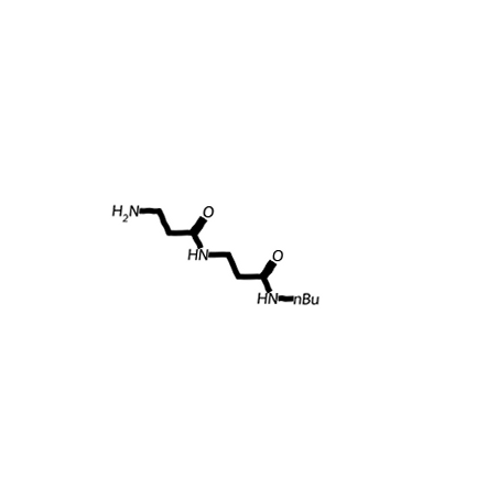 CCCCNC(=O)CCNC(=O)CCN